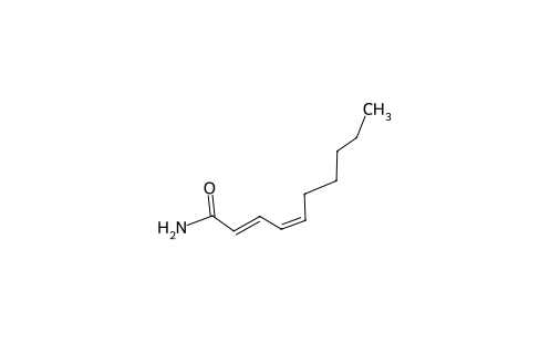 CCCCC/C=C\C=C\C(N)=O